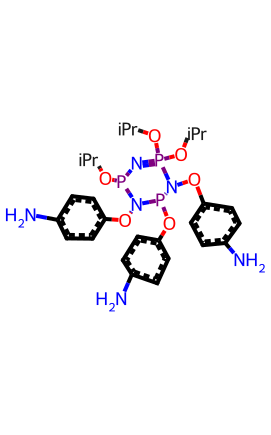 CC(C)OP1N=P(OC(C)C)(OC(C)C)N(Oc2ccc(N)cc2)P(Oc2ccc(N)cc2)N1Oc1ccc(N)cc1